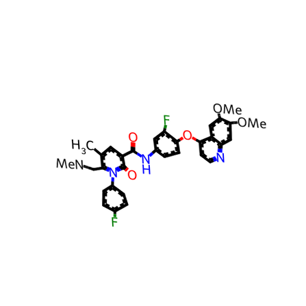 CNCc1c(C)cc(C(=O)Nc2ccc(Oc3ccnc4cc(OC)c(OC)cc34)c(F)c2)c(=O)n1-c1ccc(F)cc1